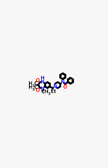 CCC(c1ccc2c(c1)N(C)C(=O)C(C)(C)C(=O)N2)N1CCC(N(C(=O)c2ccccc2)c2ccccc2)CC1